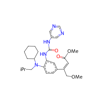 COC/C(=C/C(=O)OC)c1ccc(N(CC(C)C)C2CCCCC2)c(NC(=O)Nc2cncnc2)c1